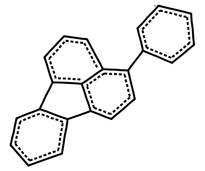 [c]1cccc(-c2ccc3c4c(cccc24)-c2ccccc2-3)c1